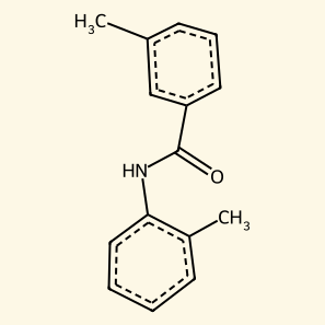 Cc1cccc(C(=O)Nc2ccccc2C)c1